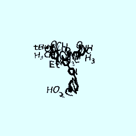 CCN(c1cc(-c2ccc(CN3CCN(C(=O)O)CC3)nc2)cc(C(=O)NCc2c(C)cc(C)[nH]c2=O)c1C)C1C[C@@H](C)N(C(=O)OC(C)(C)C)[C@H](C)C1